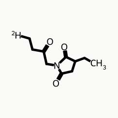 [2H]CCC(=O)CN1C(=O)CC(CC)C1=O